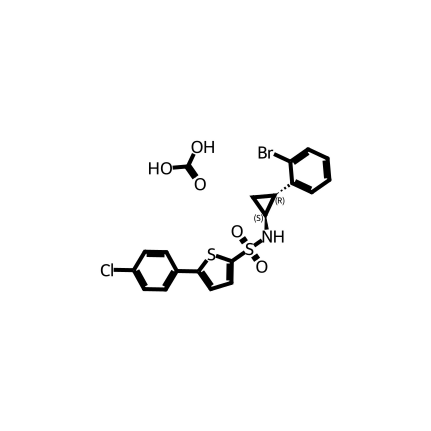 O=C(O)O.O=S(=O)(N[C@H]1C[C@@H]1c1ccccc1Br)c1ccc(-c2ccc(Cl)cc2)s1